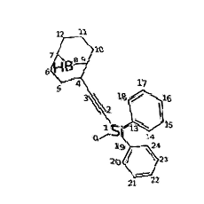 C[Si](C#CC1CCC2BC1CCC2)(c1ccccc1)c1ccccc1